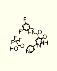 O=C(NCc1cc(F)cc(F)c1)c1cc(-c2ccncc2)n[nH]c1=O.O=C(O)C(F)(F)F